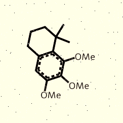 COc1cc2c(c(OC)c1OC)C(C)(C)CCC2